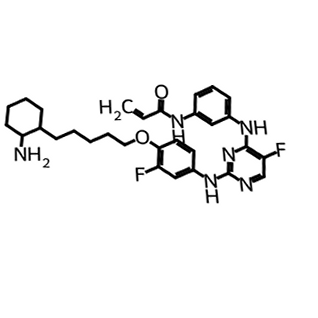 C=CC(=O)Nc1cccc(Nc2nc(Nc3ccc(OCCCCCC4CCCCC4N)c(F)c3)ncc2F)c1